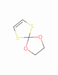 C1=CSC2(OCCO2)S1